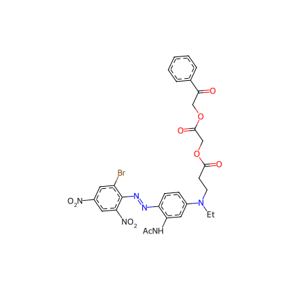 CCN(CCC(=O)OCC(=O)OCC(=O)c1ccccc1)c1ccc(N=Nc2c(Br)cc([N+](=O)[O-])cc2[N+](=O)[O-])c(NC(C)=O)c1